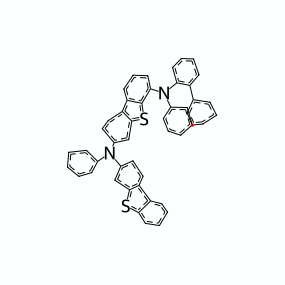 c1ccc(-c2ccccc2N(c2ccccc2)c2cccc3c2sc2cc(N(c4ccccc4)c4ccc5c(c4)sc4ccccc45)ccc23)cc1